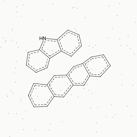 c1ccc2c(c1)[nH]c1ccccc12.c1ccc2cc3cc4ccccc4cc3cc2c1